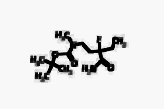 CCC(F)(CCN(C)C(=O)OC(C)(C)C)C(N)=O